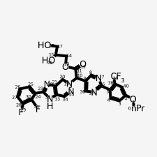 CCCOc1ccc(-c2ncc(C(C(=O)OCC(O)CO)N3Cc4nc(-c5cccc(F)c5F)[nH]c4C=N3)cn2)c(C(F)(F)F)c1